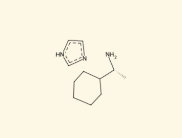 C[C@@H](N)C1CCCCC1.c1c[nH]cn1